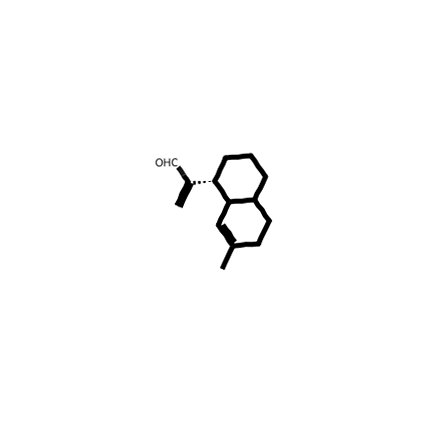 C=C(C=O)[C@@H]1CCCC2CCC(C)=CC21